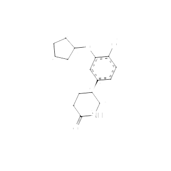 O=C1CC[C@@H](c2ccc(O)c(OC3CCCC3)c2)CN1